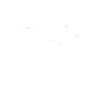 CC(C)NCCCn1c(Sc2cc3c(cc2[131I])CCO3)nc2c(N)ncnc21